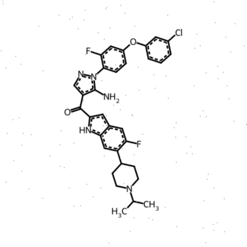 CC(C)N1CCC(c2cc3[nH]c(C(=O)c4cnn(-c5ccc(Oc6cccc(Cl)c6)cc5F)c4N)cc3cc2F)CC1